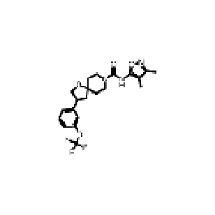 Cc1noc(NC(=O)N2CCC3(CC2)CC(c2cccc(OC(F)(F)F)c2)CO3)c1C